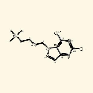 C[Si](C)(C)CCOCn1ncc2nc(Cl)nc(Cl)c21